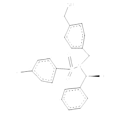 CC[C@@H](c1ccccc1)N(Cc1ccc(CN)cc1)S(=O)(=O)c1ccc(Cl)cc1